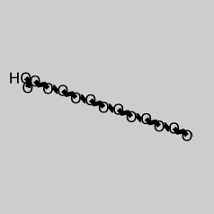 COCCOCCOCCOCCOCCOCCOCCOCCOCCOCCOCCOC(=O)O